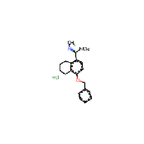 CN=C(NC)c1ccc(OCc2ccccc2)c2c1CCCC2.Cl